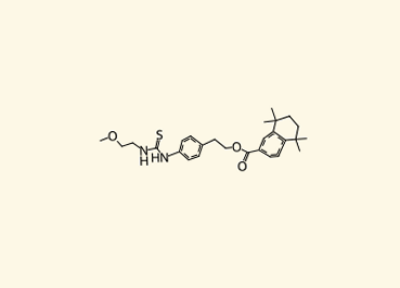 COCCNC(=S)Nc1ccc(CCOC(=O)c2ccc3c(c2)C(C)(C)CCC3(C)C)cc1